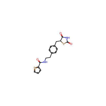 O=C1NC(=O)C(Cc2ccc(CCNC(=O)c3cccs3)cc2)S1